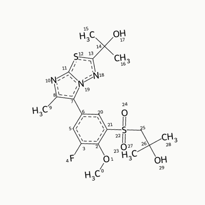 COc1c(F)cc(-c2c(C)nc3sc(C(C)(C)O)nn23)cc1S(=O)(=O)CC(C)(C)O